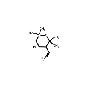 C=CC1CC[Si](C)(C)OC1(C)C.[Pt]